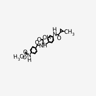 COC(=O)Nc1ccc(C(=O)N[C@@H](Cc2ccc(NC(=O)C3CC3C)cc2)C(=O)O)cc1